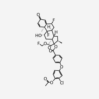 CC(=O)Oc1ccc(Oc2ccc(C(=O)O[C@]3(C(=O)OCF)[C@H](C)C[C@H]4[C@@H]5C[C@H](F)C6=CC(=O)C=C[C@]6(C)[C@@]5(F)[C@@H](O)C[C@@]43C)cc2)cc1Cl